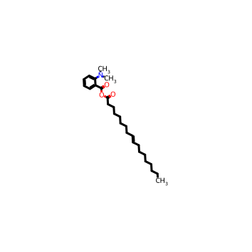 CCCCCCCCC=CCCCCCCCC(=O)OC(=O)c1ccccc1N(C)C